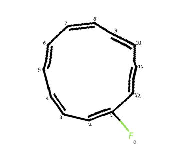 FC1=C/C=C\C=C/C=C\C=C/C=C\1